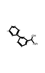 [CH2]CCC(O)c1cccc(-c2ccccc2)c1